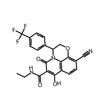 CCNC(=O)c1c(O)c2ccc(C#N)c3c2n(c1=O)C(c1ccc(C(F)(F)F)cc1)CO3